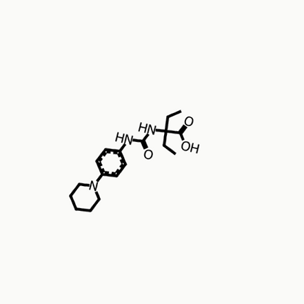 CCC(CC)(NC(=O)Nc1ccc(N2CCCCC2)cc1)C(=O)O